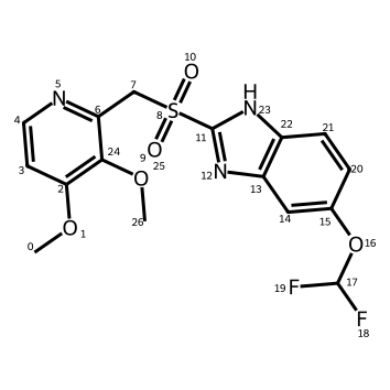 COc1ccnc(CS(=O)(=O)c2nc3cc(OC(F)F)ccc3[nH]2)c1OC